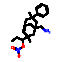 CCC(O[N+](=O)[O-])C1(C)C=C2CC(CN)(CC(C)(c3ccccc3)C2)C1